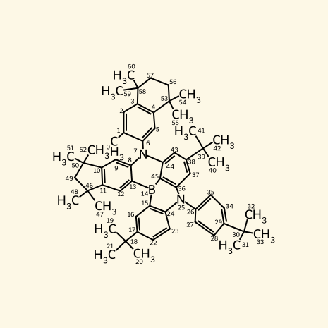 Cc1cc2c(cc1N1c3cc4c(cc3B3c5cc(C(C)(C)C)ccc5N(c5ccc(C(C)(C)C)cc5)c5cc(C(C)(C)C)cc1c53)C(C)(C)CC4(C)C)C(C)(C)CCC2(C)C